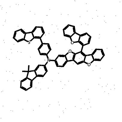 CC1(C)c2ccccc2-c2ccc(N(c3ccc(-c4cccc5c4sc4ccccc45)cc3)c3ccc4c(c3)oc3c(-c5cccc6c5oc5ccccc56)c5c(cc34)oc3ccccc35)cc21